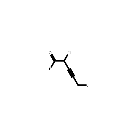 O=C(F)C(Cl)C#CCCl